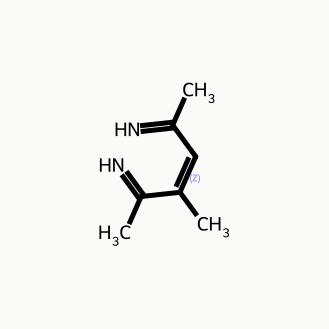 CC(=N)/C=C(/C)C(C)=N